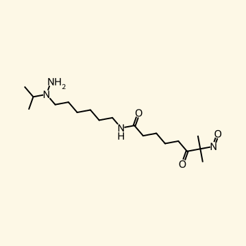 CC(C)N(N)CCCCCCNC(=O)CCCCC(=O)C(C)(C)N=O